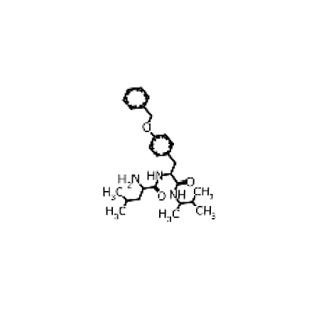 CC(C)CC(N)C(=O)NC(Cc1ccc(OCc2ccccc2)cc1)C(=O)NC(C)C(C)C